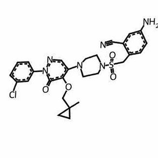 CC1(COc2c(N3CCN(S(=O)(=O)Cc4ccc(N)cc4C#N)CC3)cnn(-c3cccc(Cl)c3)c2=O)CC1